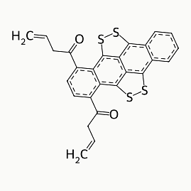 C=CCC(=O)c1ccc(C(=O)CC=C)c2c3c4c(c5ccccc5c5c4c(c12)SS5)SS3